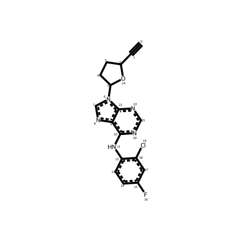 C#CC1CCC(n2cnc3c(Nc4ccc(F)cc4Cl)ncnc32)O1